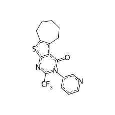 O=c1c2c3c(sc2nc(C(F)(F)F)n1-c1cccnc1)CCCCC3